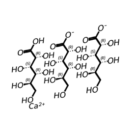 O=C(O)[C@H](O)[C@@H](O)[C@H](O)[C@H](O)CO.O=C([O-])[C@H](O)[C@@H](O)[C@H](O)[C@H](O)CO.O=C([O-])[C@H](O)[C@@H](O)[C@H](O)[C@H](O)CO.[Ca+2]